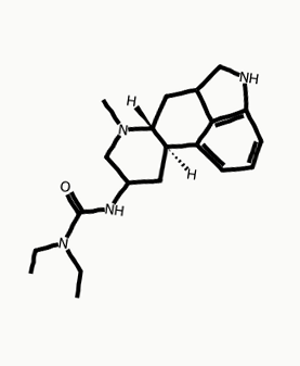 CCN(CC)C(=O)NC1C[C@@H]2c3cccc4c3C(CN4)C[C@H]2N(C)C1